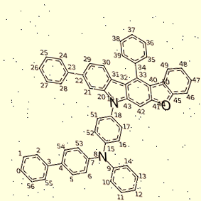 c1ccc(-c2ccc(N(c3ccccc3)c3ccc(-n4c5cc(-c6ccccc6)ccc5c5c(-c6ccccc6)c6c(cc54)oc4ccccc46)cc3)cc2)cc1